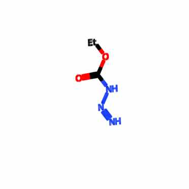 CCOC(=O)NN=N